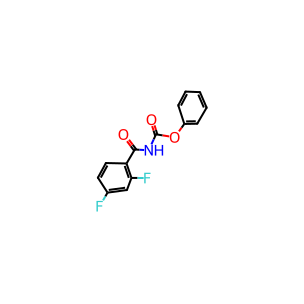 O=C(NC(=O)c1ccc(F)cc1F)Oc1ccccc1